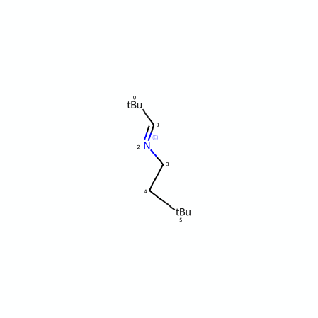 CC(C)(C)/C=N/CCC(C)(C)C